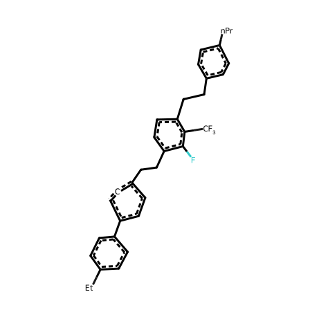 CCCc1ccc(CCc2ccc(CCc3ccc(-c4ccc(CC)cc4)cc3)c(F)c2C(F)(F)F)cc1